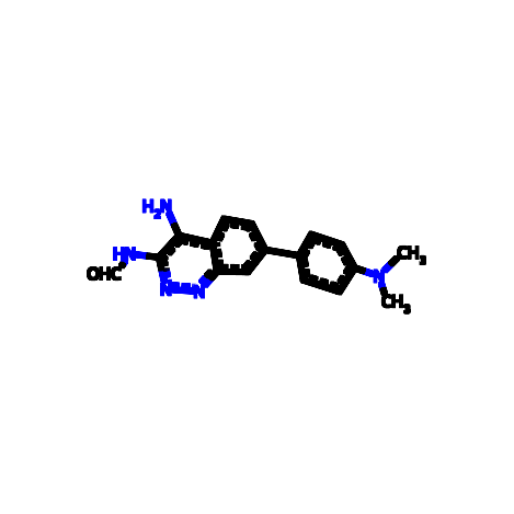 CN(C)c1ccc(-c2ccc3c(N)c(NC=O)nnc3c2)cc1